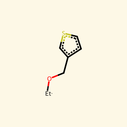 C[CH]OCc1ccsc1